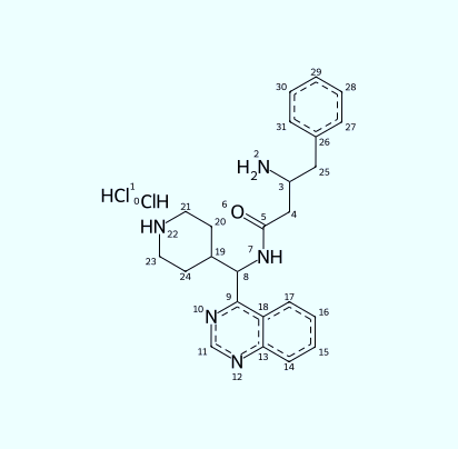 Cl.Cl.NC(CC(=O)NC(c1ncnc2ccccc12)C1CCNCC1)Cc1ccccc1